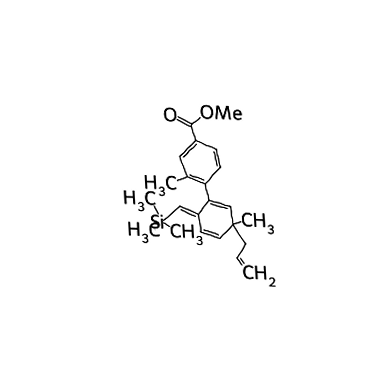 C=CCC1(C)C=C/C(=C\[Si](C)(C)C)C(c2ccc(C(=O)OC)cc2C)=C1